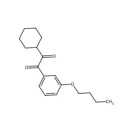 CCCCOc1cccc(C(=O)C(=O)C2CCCCC2)c1